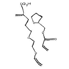 C=CC(=O)OCC1CCCO1.C=COCCOCCCC(=C)C(=O)O